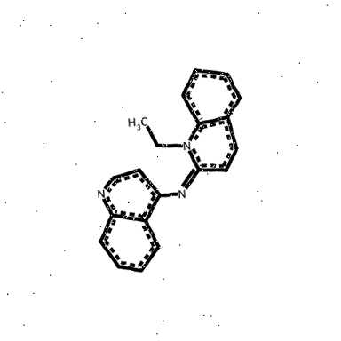 CCn1c(=Nc2ccnc3ccccc23)ccc2ccccc21